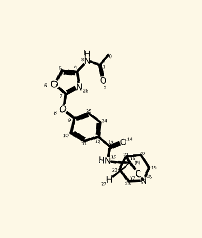 CC(=O)Nc1coc(Oc2ccc(C(=O)N[C@H]3CN4CCC3CC4)cc2)n1